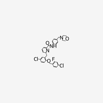 O=C(Nc1ccc(CN2CCOCC2)cc1)c1cccc(Cc2cc(Cl)ccc2OCc2ccc(Cl)cc2F)n1